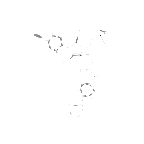 C#Cc1ccc(N2C(=O)N(CCC3(C)N=N3)C3(CCN(Cc4ccc(N5CCCC5)cc4)CC3)C2=O)cc1